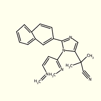 C=N/C=C\C(=N/C)n1c(C(C)(C)C#N)cnc1-c1ccc2ccccc2c1